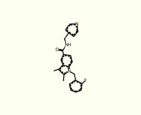 Cc1c(C)n(Cc2ccccc2F)c2ccc(C(=O)NCc3ccncc3)cc12